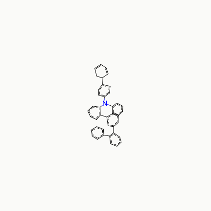 C1=CCC(c2ccc(N(c3ccccc3)c3ccccc3-c3cccc(-c4ccccc4-c4ccccc4)c3)cc2)C=C1